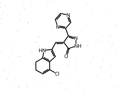 O=C1NN=C(c2cnccn2)C1=Cc1cc2c([nH]1)CCC=C2Cl